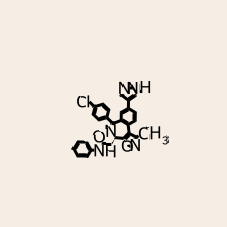 Cc1noc2c1-c1ccc(-c3cn[nH]c3)cc1C(c1ccc(Cl)cc1)=N[C@H]2CC(=O)Nc1ccccc1